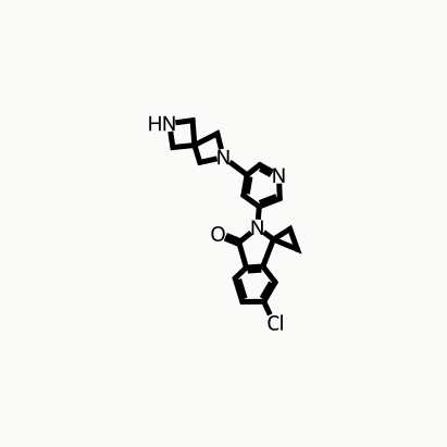 O=C1c2ccc(Cl)cc2C2(CC2)N1c1cncc(N2CC3(CNC3)C2)c1